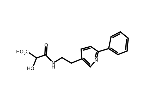 O=C(O)C(O)C(=O)NCCc1ccc(-c2ccccc2)nc1